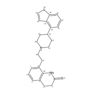 O=C1CCc2cccc(CCN3CCC(c4cccc5sccc45)CC3)c2N1